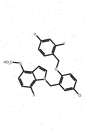 O=C(O)Oc1ccc(F)c2c1ccn2Cc1cc(Cl)ccc1OCc1ccc(F)cc1F